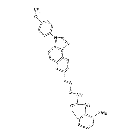 CSc1cccc(C)c1NC(=O)NS/N=C/c1ccc2c(ccc3c2ncn3-c2ccc(OC(F)(F)F)cc2)c1